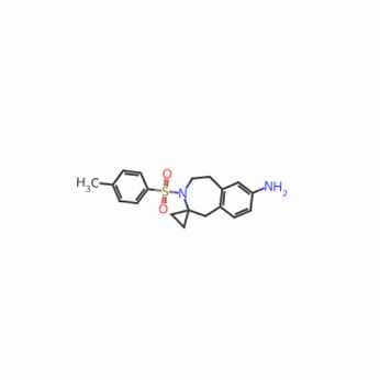 Cc1ccc(S(=O)(=O)N2CCc3cc(N)ccc3CC23CC3)cc1